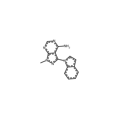 Cn1nc(-n2ccc3ccccc32)c2c(N)ncnc21